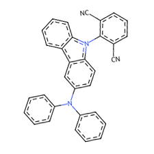 N#Cc1cccc(C#N)c1-n1c2ccccc2c2cc(N(c3ccccc3)c3ccccc3)ccc21